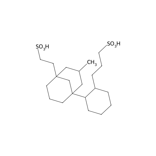 CC1CC2(CCS(=O)(=O)O)CCCC(C3CCCCC3CCCS(=O)(=O)O)(C1)C2